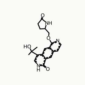 CC(C)(O)c1c[nH]c(=O)c2cc3ccnc(OCC4CCC(=O)N4)c3cc12